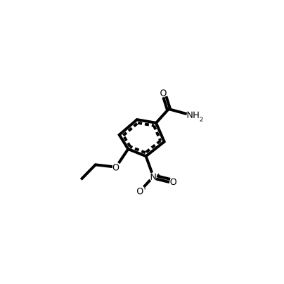 CCOc1ccc(C(N)=O)cc1[N+](=O)[O-]